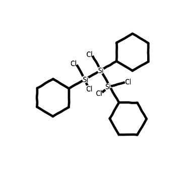 Cl[Si](Cl)(C1CCCCC1)[Si](Cl)(C1CCCCC1)[Si](Cl)(Cl)C1CCCCC1